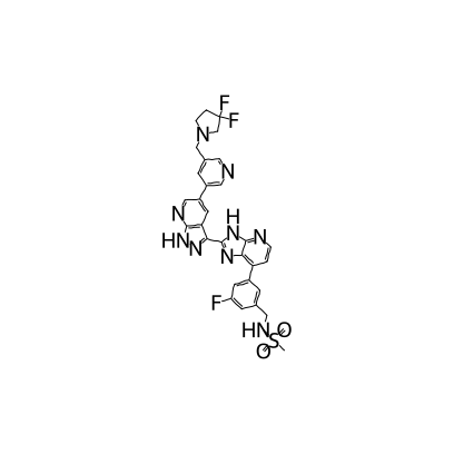 CS(=O)(=O)NCc1cc(F)cc(-c2ccnc3[nH]c(-c4n[nH]c5ncc(-c6cncc(CN7CCC(F)(F)C7)c6)cc45)nc23)c1